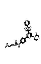 C[C@H]1COCCN1c1cc(C(C)(C)S(=O)(=O)c2ccncc2)nc(-c2ccc(NC(=O)NCCN(C)C)cc2)n1